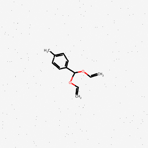 C=COC(OC=C)c1ccc(C)cc1